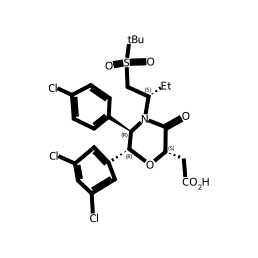 CC[C@@H](CS(=O)(=O)C(C)(C)C)N1C(=O)[C@H](CC(=O)O)O[C@H](c2cc(Cl)cc(Cl)c2)[C@H]1c1ccc(Cl)cc1